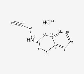 C#CCNC1CCc2ccccc2C1.Cl